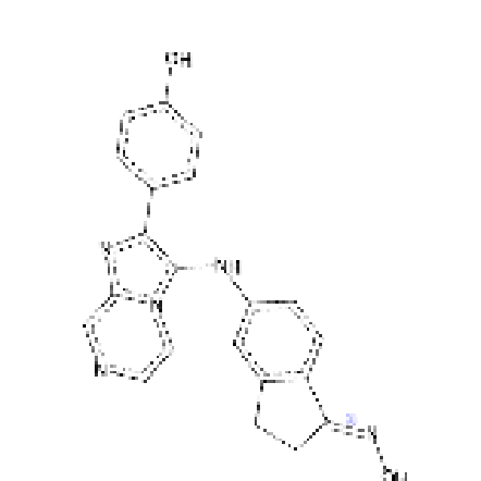 O/N=C1\CCc2cc(Nc3c(-c4ccc(O)cc4)nc4cnccn34)ccc21